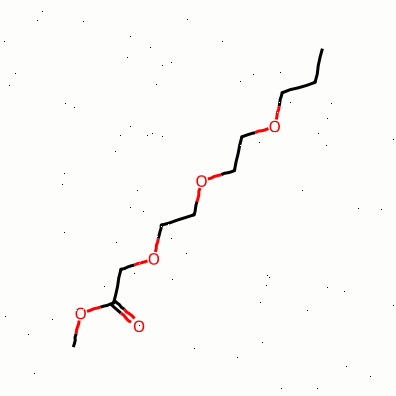 CCCOCCOCCOCC(=O)OC